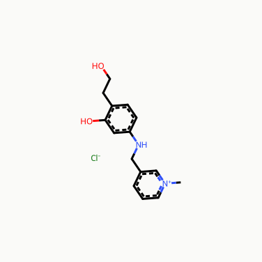 C[n+]1cccc(CNc2ccc(CCO)c(O)c2)c1.[Cl-]